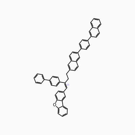 C(=C(\CCc1ccc2cc(-c3ccc(-c4ccc5ccccc5c4)cc3)ccc2c1)c1ccc(-c2ccccc2)cc1)/c1ccc2oc3ccccc3c2c1